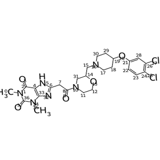 Cn1c(=O)c2[nH]c(CC(=O)N3CCOC(CN4CCC(Oc5ccc(Cl)c(Cl)c5)CC4)C3)nc2n(C)c1=O